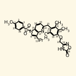 Cc1ccc(S(=O)(=O)n2cc(C(C)C)c3nc(Cc4c(C)cc(OCc5noc(=O)[nH]5)c(C)c4C)ccc32)cc1